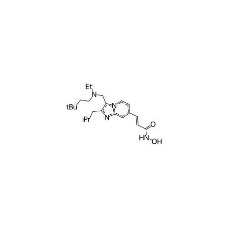 CCN(CCC(C)(C)C)Cc1c(CC(C)C)nc2cc(C=CC(=O)NO)ccn12